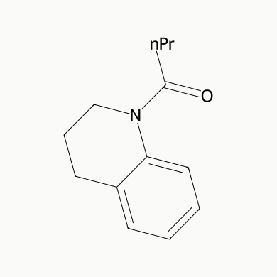 CCCC(=O)N1CCCc2ccccc21